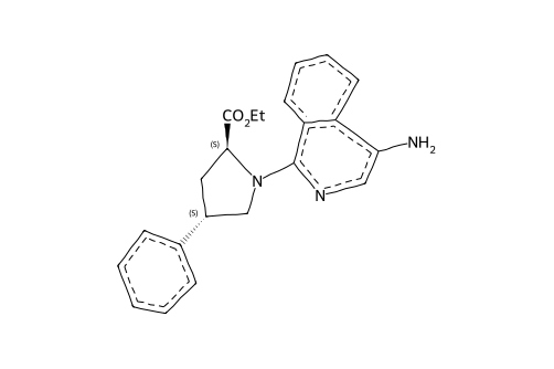 CCOC(=O)[C@@H]1C[C@@H](c2ccccc2)CN1c1ncc(N)c2ccccc12